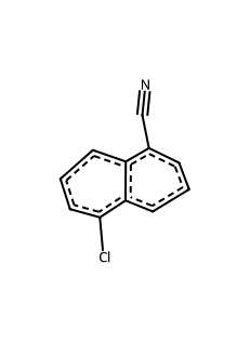 N#Cc1cccc2c(Cl)cccc12